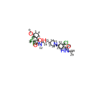 COc1cccc(C(O)(C(=O)N(C)CCCC2CCN(c3ccc(C(=O)NC4CC4)c(Cl)c3)CC2)C(F)(F)F)c1